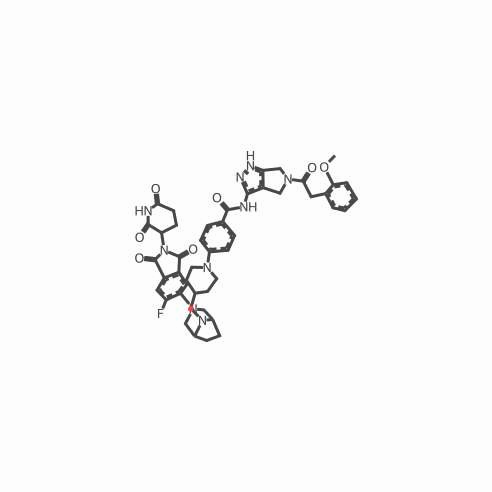 COc1ccccc1CC(=O)N1Cc2[nH]nc(NC(=O)c3ccc(N4CCC(CN5C6CCC5CN(c5cc7c(cc5F)C(=O)N(C5CCC(=O)NC5=O)C7=O)C6)CC4)cc3)c2C1